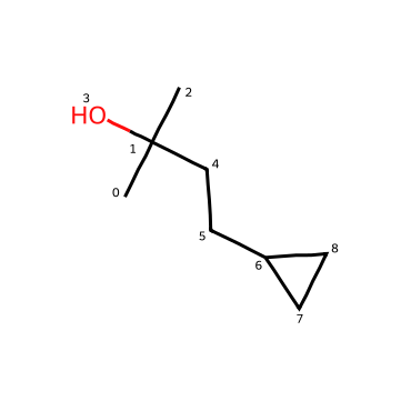 CC(C)(O)CCC1CC1